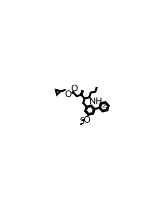 C=C(CC(=O)OCC1CC1)C(Cc1cc(OSC)cc(-c2ccccc2)c1)C(N)CCC